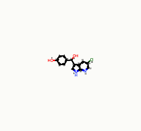 Oc1ccc(C(O)c2c[nH]c3ncc(Cl)cc23)cc1